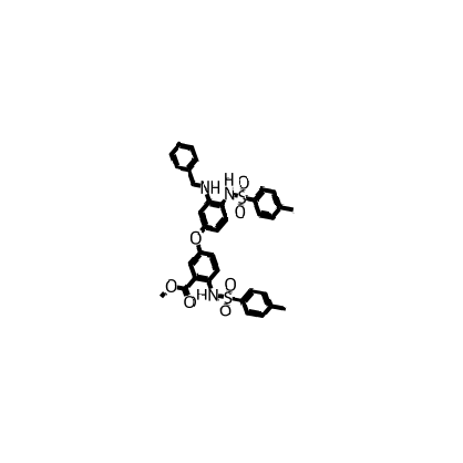 COC(=O)c1cc(Oc2ccc(NS(=O)(=O)c3ccc(C)cc3)c(NCc3ccccc3)c2)ccc1NS(=O)(=O)c1ccc(C)cc1